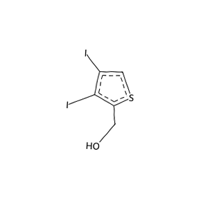 OCc1scc(I)c1I